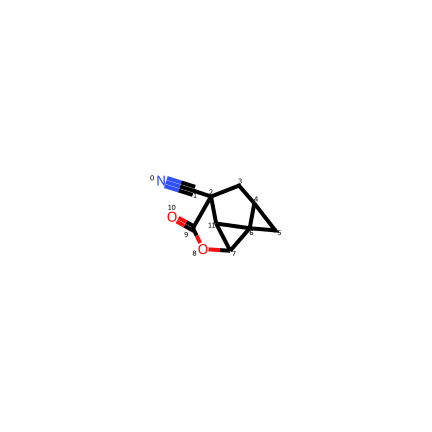 N#CC12CC3CC34C(OC1=O)C24